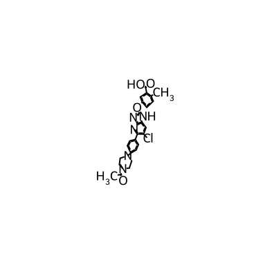 CC(=O)N1CCN(c2ccc(-c3nc4nc(Oc5ccc(C)c(C(=O)O)c5)[nH]c4cc3Cl)cc2)CC1